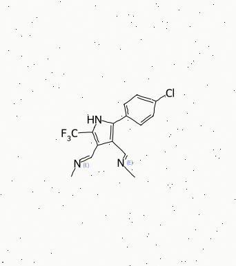 C/N=C/c1c(-c2ccc(Cl)cc2)[nH]c(C(F)(F)F)c1/C=N/C